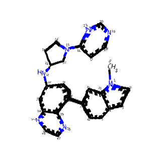 Cn1ccc2ccc(-c3cc(N[C@H]4CCN(c5ccncn5)C4)cc4nccnc34)cc21